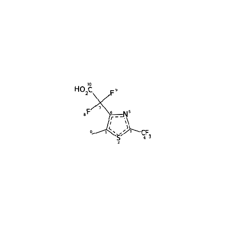 Cc1sc(C(F)(F)F)nc1C(F)(F)C(=O)O